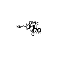 COc1nc(SC)nc2c1NC1=C(S2)C(=O)NC2(CCCC2)C1